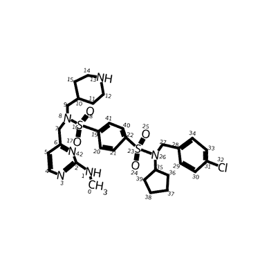 CNc1nccc(CN(CC2CCNCC2)S(=O)(=O)c2ccc(S(=O)(=O)N(Cc3ccc(Cl)cc3)C3CCCC3)cc2)n1